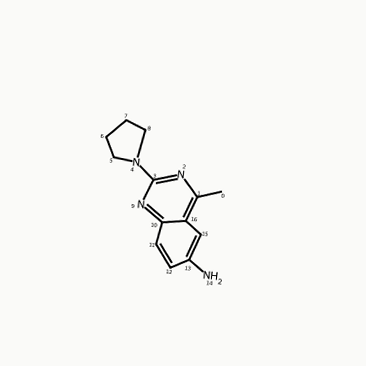 Cc1nc(N2CCCC2)nc2ccc(N)cc12